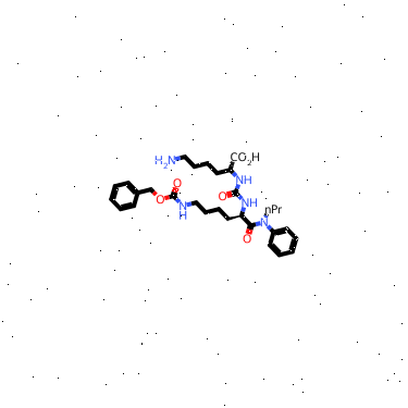 CCCN(C(=O)[C@@H](CCCCNC(=O)OCc1ccccc1)NC(=O)NC(CCCCN)C(=O)O)c1ccccc1